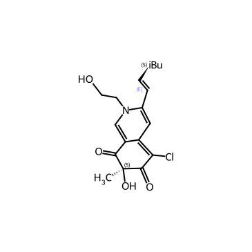 CC[C@H](C)/C=C/C1=CC2=C(Cl)C(=O)[C@@](C)(O)C(=O)C2=CN1CCO